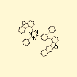 c1ccc(-c2nc(-c3ccc(-c4cccc5oc6cc7ccccc7cc6c45)c(-c4ccccc4)c3)nc(-c3cccc4oc5ccccc5c34)n2)cc1